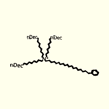 CCCCCCCCCCCCCCCCCC[N+](CCCCCCCCCCCCCCCCCC)(CCCCCCCCCCCCCCCCCC)CCCCCCCCCCCCCCCCCCCc1ccccc1